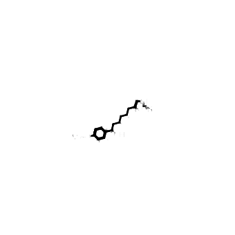 COc1ccc(C(C)CCCCCC2=CNN(N)S2)cc1